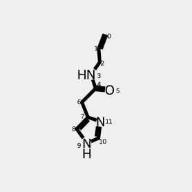 C=CCNC(=O)Cc1c[nH]cn1